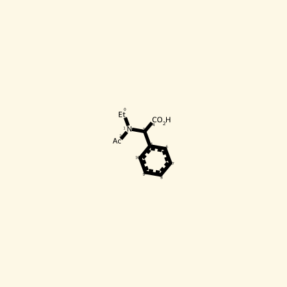 CCN(C(C)=O)C(C(=O)O)c1ccccc1